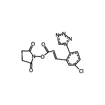 O=C(C=Cc1cc(Cl)ccc1-n1cnnn1)ON1C(=O)CCC1=O